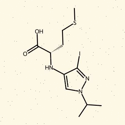 CSCC[C@H](Nc1cn(C(C)C)nc1I)C(=O)O